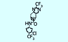 O=C(Nc1ccc(C(F)(F)F)c(Cl)c1)N1C2CCC1c1cnc(C(F)(F)F)nc1C2